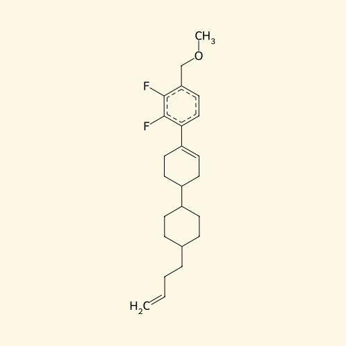 C=CCCC1CCC(C2CC=C(c3ccc(COC)c(F)c3F)CC2)CC1